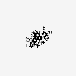 [2H]C([2H])([2H])Oc1cc([C@]2([2H])c3cc4c(cc3[C@@H](O[C@@H]3O[C@@H]5CO[C@@H](C)O[C@H]5[C@H](O)[C@H]3O)[C@H]3COC(=O)[C@@H]32)OC([2H])([2H])O4)cc(OC([2H])([2H])[2H])c1OP(=O)(O)O